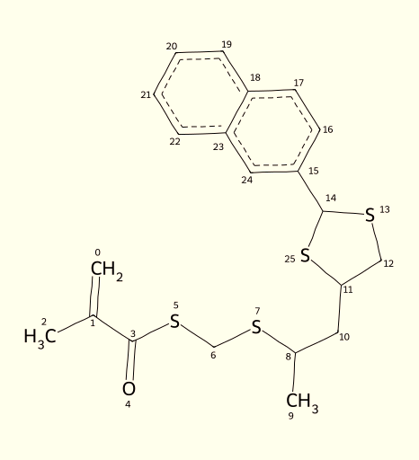 C=C(C)C(=O)SCSC(C)CC1CSC(c2ccc3ccccc3c2)S1